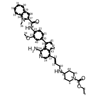 CCOC(=O)N1CCC(NCC=Cc2cnc(N)c3c(-c4ccc(NC(=O)c5cc6ccccc6n5C)c(OC)c4)csc23)CC1